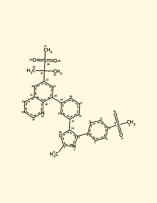 Cc1nc(-c2ccc(S(C)(=O)=O)cc2)c(-c2cccc(-c3cc(C(C)(C)S(C)(=O)=O)cc4cccnc34)c2)o1